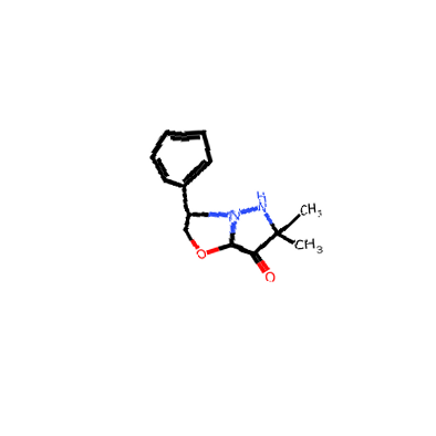 CC1(C)NN2C(OCC2c2ccccc2)C1=O